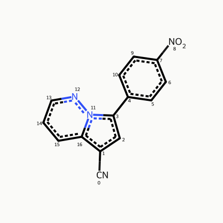 N#Cc1cc(-c2ccc([N+](=O)[O-])cc2)n2ncccc12